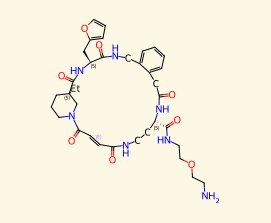 CC[C@]12CCCN(C1)C(=O)/C=C/C(=O)NCC[C@@H](C(=O)NCCOCCN)NC(=O)Cc1ccccc1CNC(=O)[C@H](Cc1ccco1)NC2=O